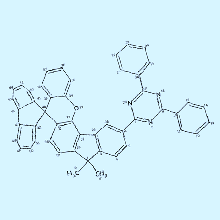 CC1(C)c2ccc(-c3nc(-c4ccccc4)nc(-c4ccccc4)n3)cc2-c2c1ccc1c2Oc2ccccc2C12c1ccccc1-c1ccccc12